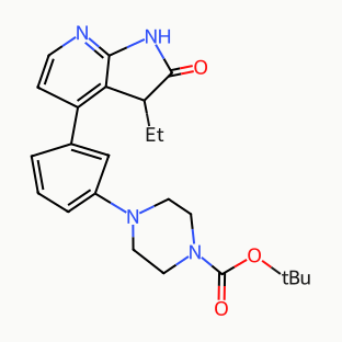 CCC1C(=O)Nc2nccc(-c3cccc(N4CCN(C(=O)OC(C)(C)C)CC4)c3)c21